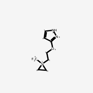 FC(F)(F)[Si]1(CCOc2cc[nH]n2)CC1